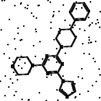 c1ccc(C2CCN(c3nc(N4CCOCC4)nc(-n4ccnc4)n3)CC2)cc1